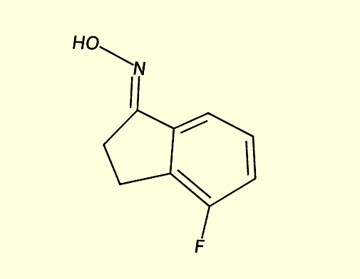 O/N=C1\CCc2c(F)cccc21